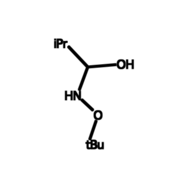 CC(C)C(O)NOC(C)(C)C